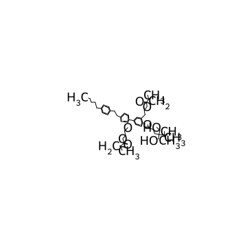 C=C(C)C(=O)OCCOc1cc(CCc2ccc(CCCCC)cc2)ccc1-c1ccc(OCCCC(CO)(CO)C(C)(C)C)c(CCOC(=O)C(=C)C)c1